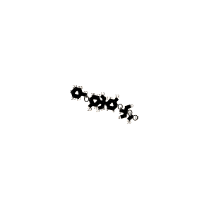 CCC(CC)(COc1ccc(C(CC)(CC)c2ccc(OCc3ccccc3)c(C)c2)cc1C)OC(C)=O